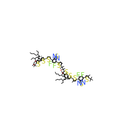 CCCCC(CC)C[Si]1(CC(CC)CCCC)c2cc(-c3ccc(-c4c(F)c(F)c(-c5ccc(C(C)(C)C(C)(C)c6cc7c(s6)-c6sc(-c8sc(-c9c(F)c(F)c(-c%10cc(C)c(C(C)(C)C)s%10)c%10nsnc9%10)cc8C)cc6[Si]7(CC(CC)CCCC)CC(CC)CCCC)s5)c5nsnc45)s3)sc2-c2sc(C(C)(C)C)cc21